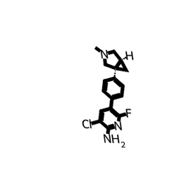 CN1C[C@H]2C[C@@]2(c2ccc(-c3cc(Cl)c(N)nc3F)cc2)C1